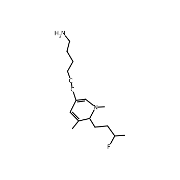 CC1=CC(CCCCCCN)=CN(C)C1CCC(C)F